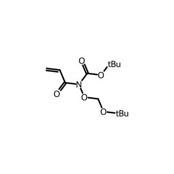 C=CC(=O)N(OCOC(C)(C)C)C(=O)OC(C)(C)C